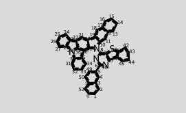 c1ccc2cc(-c3nc(-n4c5cc6ccccc6cc5c5cc6c7ccccc7n7c8ccccc8c(c54)c67)c4sc5ccccc5c4n3)ccc2c1